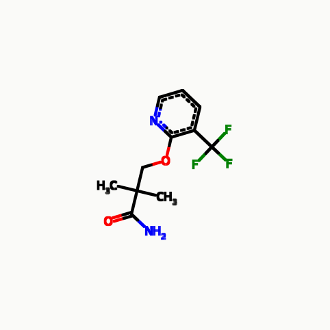 CC(C)(COc1ncccc1C(F)(F)F)C(N)=O